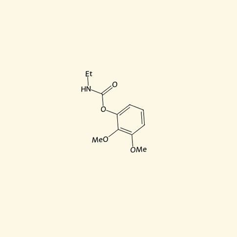 CCNC(=O)Oc1cccc(OC)c1OC